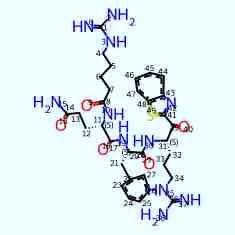 N=C(N)NCCCCC(=O)N[C@@H](CCC(N)=O)C(=O)N[C@@H](Cc1ccccc1)C(=O)N[C@@H](CCCNC(=N)N)C(=O)c1nc2ccccc2s1